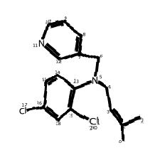 CC(C)=CCN(Cc1cccnc1)c1ccc(Cl)cc1Cl